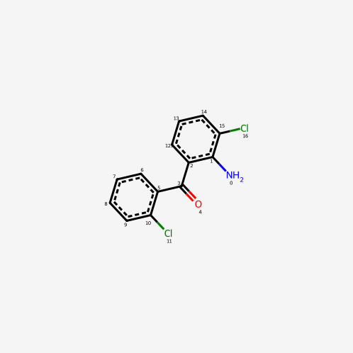 Nc1c(C(=O)c2ccccc2Cl)[c]ccc1Cl